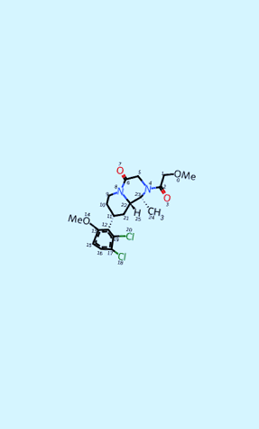 COCC(=O)N1CC(=O)N2CC[C@@H](c3c(OC)ccc(Cl)c3Cl)C[C@H]2[C@H]1C